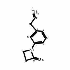 C=CCc1cccc(N2CCC2=O)c1